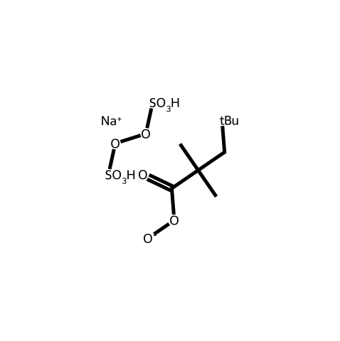 CC(C)(C)CC(C)(C)C(=O)O[O-].O=S(=O)(O)OOS(=O)(=O)O.[Na+]